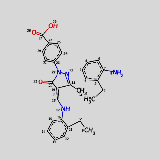 CCc1ccccc1N.CCc1ccccc1N/C=C1/C(=O)N(c2ccc(C(=O)O)cc2)N=C1C